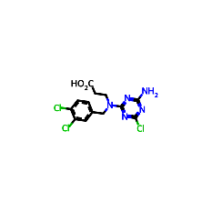 Nc1nc(Cl)nc(N(CCC(=O)O)Cc2ccc(Cl)c(Cl)c2)n1